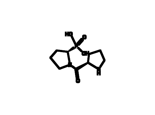 O=C([C@H]1CCCN1)N1CCC[C@@H]1P(=O)(O)O